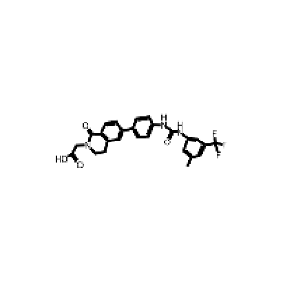 Cc1cc(NC(=O)Nc2ccc(-c3ccc4c(c3)CCN(CC(=O)O)C4=O)cc2)cc(C(F)(F)F)c1